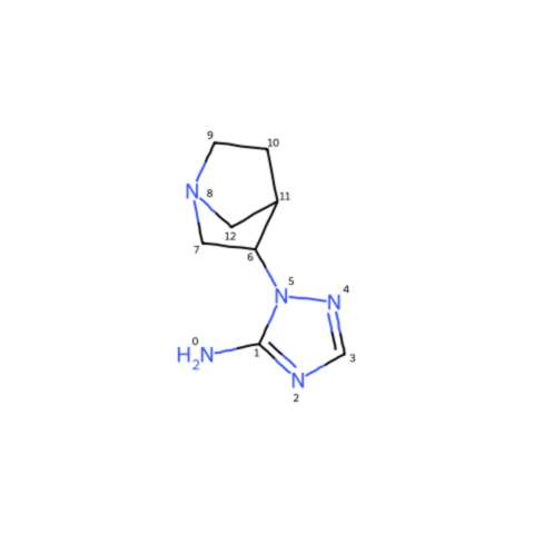 Nc1ncnn1C1CN2CCC1C2